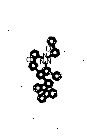 c1ccc(-c2cccc(-c3nc(-c4cccc5c4oc4ccccc45)nc(-c4cccc5oc6ccc(-c7ccc(-c8cccc9c8-c8ccccc8C98c9ccccc9-c9ccccc98)cc7)cc6c45)n3)c2)cc1